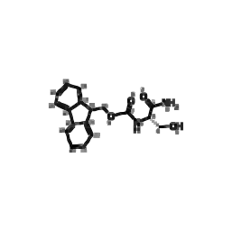 NC(=O)[C@H](CO)NC(=O)OCC1c2ccccc2-c2ccccc21